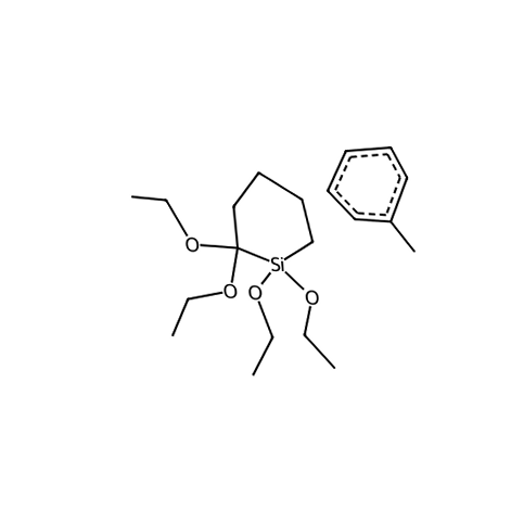 CCOC1(OCC)CCCC[Si]1(OCC)OCC.Cc1ccccc1